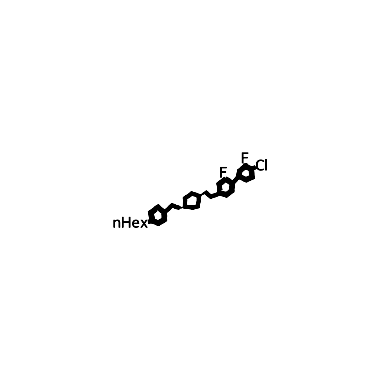 CCCCCCc1ccc(CC[C@H]2CC[C@H](CCc3ccc(-c4ccc(Cl)c(F)c4)c(F)c3)CC2)cc1